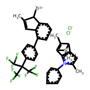 CC1=C2c3c(cc(C)n3-c3ccccc3)C1[Si]2(C)C.CC1=Cc2c(-c3ccc(C(C(F)(F)F)(C(F)(F)F)C(F)(F)F)cc3)cccc2[CH]1[Zr+2].[Cl-].[Cl-]